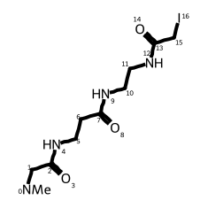 CNCC(=O)NCCC(=O)NCCNC(=O)CI